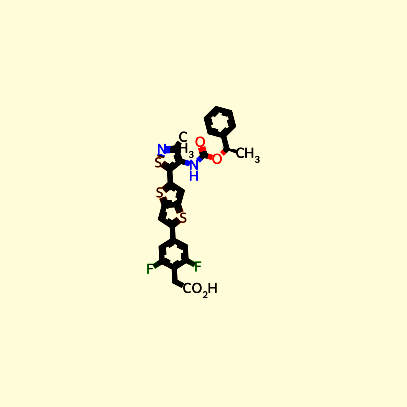 Cc1nsc(-c2cc3sc(-c4cc(F)c(CC(=O)O)c(F)c4)cc3s2)c1NC(=O)O[C@H](C)c1ccccc1